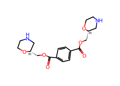 O=C(OC[C@H]1CNCCO1)c1ccc(C(=O)OC[C@H]2CNCCO2)cc1